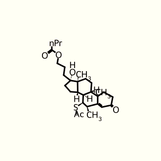 CCCC(=O)OCCC[C@]1(O)CC[C@H]2[C@@H]3[C@H](SC(C)=O)[C@H](C)C4=CC(=O)CC[C@]4(C)[C@H]3CC[C@@]21C